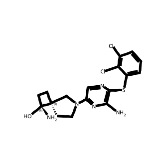 Nc1nc(N2CC[C@]3(CC[C@@]3(N)O)C2)cnc1Sc1cccc(Cl)c1Cl